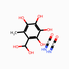 Cc1c(O)c(O)c(O)c(O)c1C(O)O.N=C=O.N=C=O